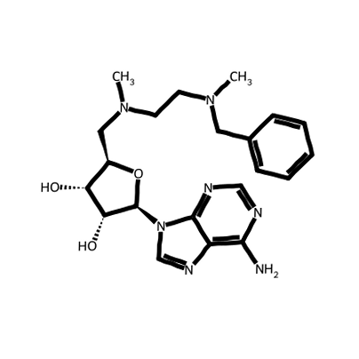 CN(CCN(C)C[C@H]1O[C@@H](n2cnc3c(N)ncnc32)[C@H](O)[C@@H]1O)Cc1ccccc1